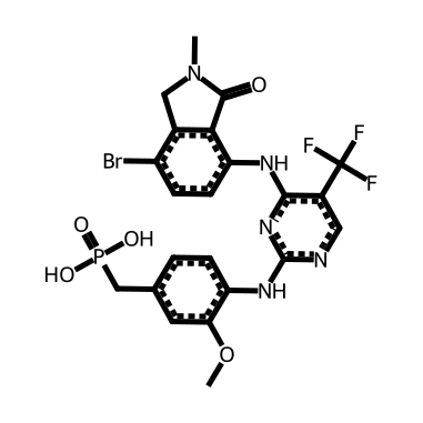 COc1cc(CP(=O)(O)O)ccc1Nc1ncc(C(F)(F)F)c(Nc2ccc(Br)c3c2C(=O)N(C)C3)n1